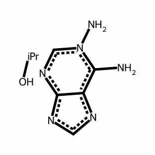 CC(C)O.Nc1c2ncnc-2ncn1N